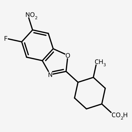 CC1CC(C(=O)O)CCC1c1nc2cc(F)c([N+](=O)[O-])cc2o1